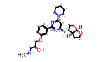 CNCC(O)COc1cccc(-c2nc(N[C@H]3CO[C@H]4OCC[C@H]43)cc(N3CCCCC3)n2)c1